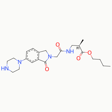 CCCCOC(=O)[C@H](C)CNC(=O)CN1Cc2ccc(N3CCNCC3)cc2C1=O